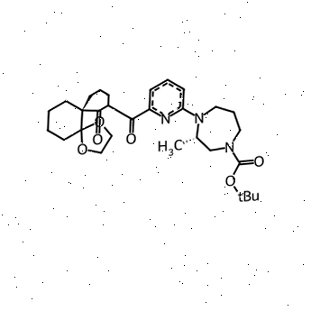 C[C@H]1CN(C(=O)OC(C)(C)C)CCCN1c1cccc(C(=O)C2CCC[C@@]3(CCCCC34OCCO4)C2=O)n1